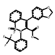 COC(=O)C1=C(c2ccc3c(c2)OCO3)c2ccccc2S(=O)(=O)N1c1ccccc1C(F)(F)F